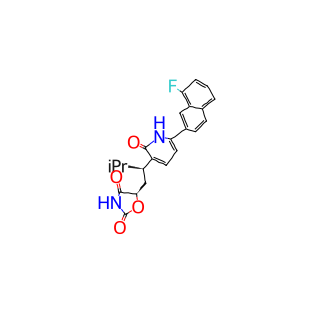 CC(C)[C@H](C[C@H]1OC(=O)NC1=O)c1ccc(-c2ccc3cccc(F)c3c2)[nH]c1=O